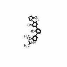 COc1cc(-c2cccc(-c3cc(Cl)c(N4CCCC4=O)c(Cl)c3)c2O)ccc1NC(C)=O